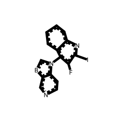 Fc1c(I)nc2ccccc2c1-n1cbc2cnccc21